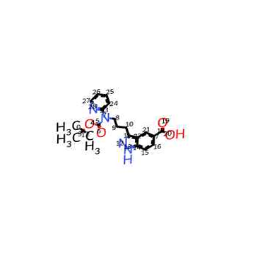 CC(C)(C)OC(=O)N(CCCc1n[nH]c2ccc(C(=O)O)cc12)c1ccccn1